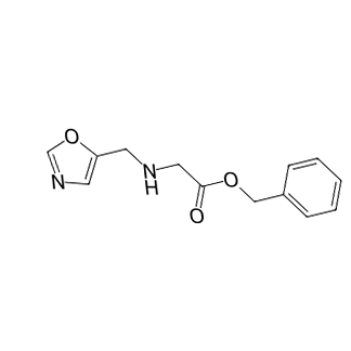 O=C(CNCc1cnco1)OCc1ccccc1